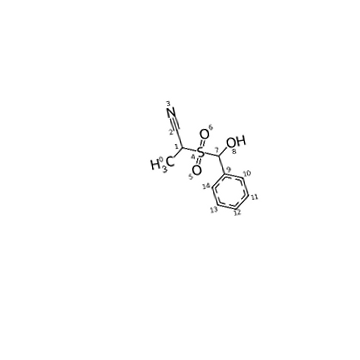 CC(C#N)S(=O)(=O)C(O)c1ccccc1